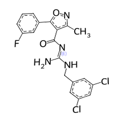 Cc1noc(-c2cccc(F)c2)c1C(=O)/N=C(\N)NCc1cc(Cl)cc(Cl)c1